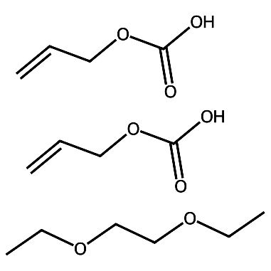 C=CCOC(=O)O.C=CCOC(=O)O.CCOCCOCC